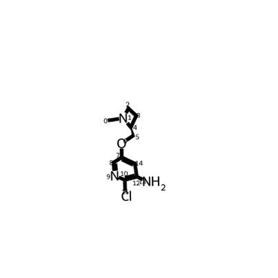 CN1CC[C@H]1COc1cnc(Cl)c(N)c1